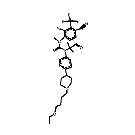 CCOCCCCN1CCC(c2ccc(N(C(=S)N(C)c3ccc(C#N)c(C(F)(F)F)c3F)C(C)(C)C=O)cn2)CC1